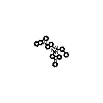 c1ccc(-c2cccc(-c3nc(-c4cccc5c(-n6c7ccccc7c7cc8ccccc8cc76)cccc45)nc(-c4cccc5c4c4ccccc4n5-c4ccccc4)n3)c2)cc1